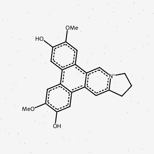 COc1cc2c(cc1O)c1cc(OC)c(O)cc1c1cc3[n+](cc21)CCC3